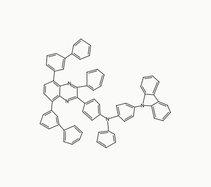 c1ccc(-c2cccc(-c3ccc(-c4cccc(-c5ccccc5)c4)c4nc(-c5ccc(N(c6ccccc6)c6ccc(-n7c8ccccc8c8ccccc87)cc6)cc5)c(-c5ccccc5)nc34)c2)cc1